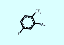 CC(=O)c1cc(F)ccc1C(F)(F)F